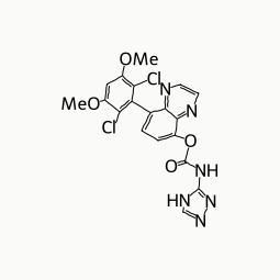 COc1cc(OC)c(Cl)c(-c2ccc(OC(=O)Nc3nnc[nH]3)c3nccnc23)c1Cl